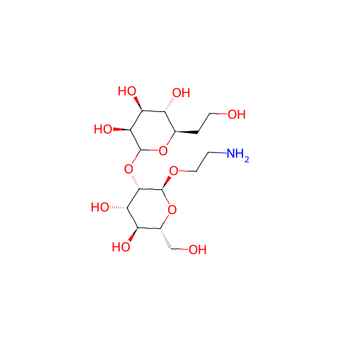 NCCO[C@H]1O[C@H](CO)[C@@H](O)[C@H](O)[C@@H]1OC1O[C@H](CCO)[C@@H](O)[C@H](O)[C@@H]1O